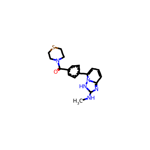 CNC1N=C2C=CC=C(c3ccc(C(=O)N4CCSCC4)cc3)N2N1